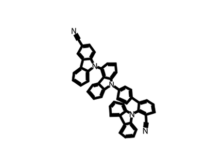 N#Cc1ccc2c(c1)c1ccccc1n2-c1cccc2c1c1ccccc1n2-c1ccc(-c2cccc(C#N)c2-n2c3ccccc3c3ccccc32)cc1